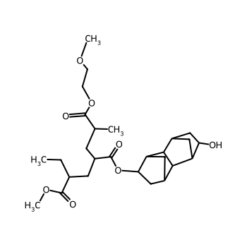 CCC(CC(CC(C)C(=O)OCCOC)C(=O)OC1CC2CC1C1C3CC(O)C(C3)C21)C(=O)OC